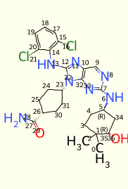 CC1(C)CC[C@@H](Nc2ncc3nc(Nc4c(Cl)cccc4Cl)n([C@H]4CC[C@@H](C(N)=O)CC4)c3n2)C[C@H]1O